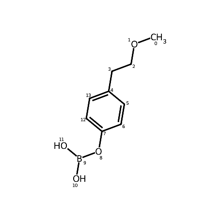 COCCc1ccc(OB(O)O)cc1